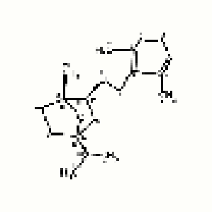 Cc1cccc(C)c1CO[C@H]1C[C@]2(C(C)C)CC[C@@]1(C)O2